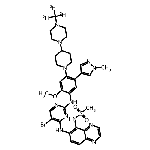 [2H]C([2H])([2H])N1CCN(C2CCN(c3cc(OC)c(Nc4ncc(Br)c(Nc5ccc6nccnc6c5NS(C)(=O)=O)n4)cc3-c3cnn(C)c3)CC2)CC1